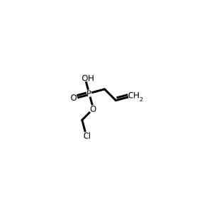 C=CCP(=O)(O)OCCl